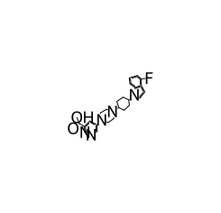 O=C(O)c1cc(N2CCN([C@H]3CC[C@@H](n4ccc5c(F)cccc54)CC3)CC2)cnn1